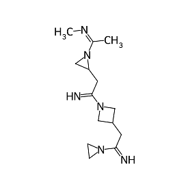 C/N=C(/C)N1CC1CC(=N)N1CC(CC(=N)N2CC2)C1